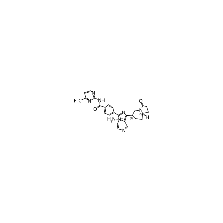 N[N+]12C=CN=CC1=C([C@@H]1CC[C@H]3CCC(=O)N3C1)N=C2c1ccc(C(=O)Nc2nccc(C(F)(F)F)n2)cc1